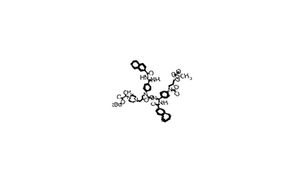 CC(C(=O)OC(C)(C)C)N1CCN(CC2CN(c3ccc(C(=N)NC(=O)c4ccc5ccccc5c4)cc3)C(=O)O2)CC1.CS(=O)(=O)OCC1CN(c2ccc(C(=N)NC(=O)c3ccc4ccccc4c3)cc2)C(=O)O1